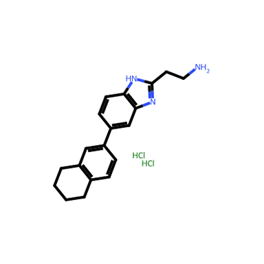 Cl.Cl.NCCc1nc2cc(-c3ccc4c(c3)CCCC4)ccc2[nH]1